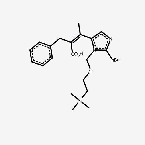 CCCCc1ncc(/C(C)=C(/Cc2ccccc2)C(=O)O)n1COCC[Si](C)(C)C